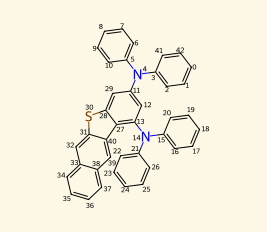 c1ccc(N(c2ccccc2)c2cc(N(c3ccccc3)c3ccccc3)c3c(c2)sc2cc4ccccc4cc23)cc1